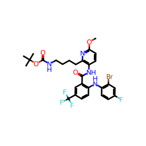 COc1ccc(NC(=O)c2cc(C(F)(F)F)ccc2Nc2ccc(F)cc2Br)c(CCCCNC(=O)OC(C)(C)C)n1